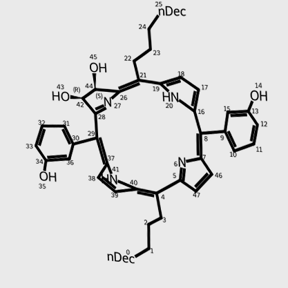 CCCCCCCCCCCCCc1c2nc(c(-c3cccc(O)c3)c3ccc([nH]3)c(CCCCCCCCCCCCC)c3nc(c(-c4cccc(O)c4)c4ccc1[nH]4)[C@@H](O)[C@H]3O)C=C2